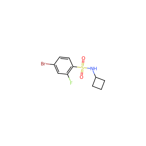 O=S(=O)(NC1CCC1)c1ccc(Br)cc1F